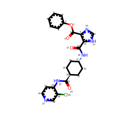 O=C(Oc1ccccc1)c1nc[nH]c1C(=O)N[C@H]1CC[C@H](C(=O)Nc2ccncc2Cl)CC1